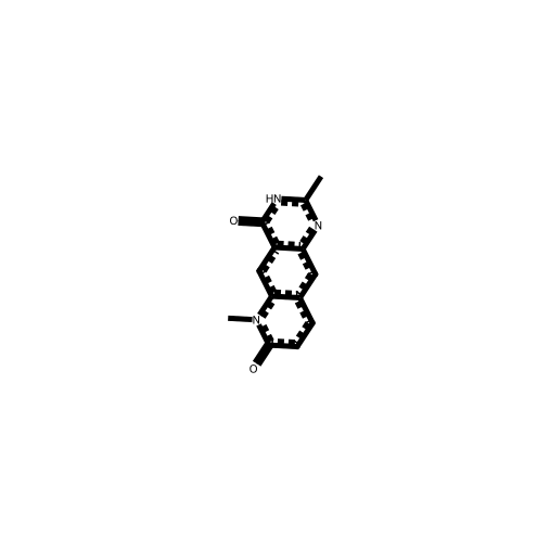 Cc1nc2cc3ccc(=O)n(C)c3cc2c(=O)[nH]1